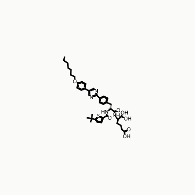 CCCCCCCOc1ccc(-c2cnc(-c3ccc(C[C@H](NC(=O)c4ccc(C(C)(C)C)s4)C(=O)NC(CCCC(=O)O)C(O)O)cc3)nc2)cc1